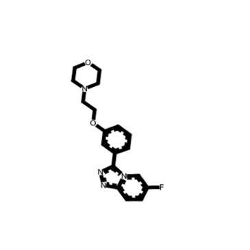 Fc1ccc2nnc(-c3cccc(OCCN4CCOCC4)c3)n2c1